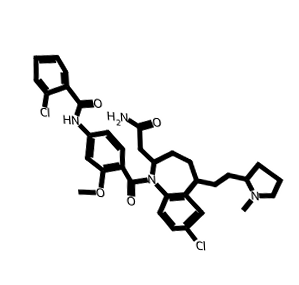 COc1cc(NC(=O)c2ccccc2Cl)ccc1C(=O)N1c2ccc(Cl)cc2C(CCC2CCCN2C)CCC1CC(N)=O